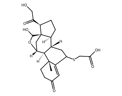 C[C@]12CCC(=O)C=C1C(SCC(=O)O)C[C@@H]1[C@@H]2[C@H]2C[C@]3(C(O)O2)[C@@H](C(=O)CO)CC[C@@H]13